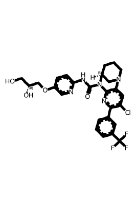 O=C(Nc1ccc(OC[C@H](O)CO)cn1)N1c2nc(-c3cccc(C(F)(F)F)c3)c(Cl)cc2N2CCC[C@H]1C2